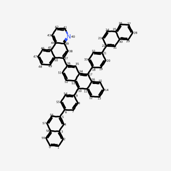 c1ccc2cc(-c3ccc(-c4c5ccccc5c(-c5ccc(-c6ccc7ccccc7c6)cc5)c5cc(-c6cc7ncccc7c7ccccc67)ccc45)cc3)ccc2c1